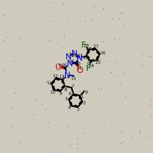 Cc1ccccc1Cc1ccccc1N(C)C(=O)n1nnn(-c2c(F)cccc2F)c1=O